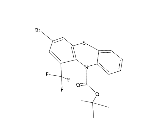 CC(C)(C)OC(=O)N1c2ccccc2Sc2cc(Br)cc(C(F)(F)F)c21